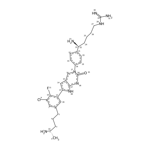 C[C@H](N)CCCc1cc(Cl)c(F)c(-c2cc3cn(-c4ccc([C@@H](N)CCCCNC(=N)N)cc4)c(=O)nc3[nH]2)c1